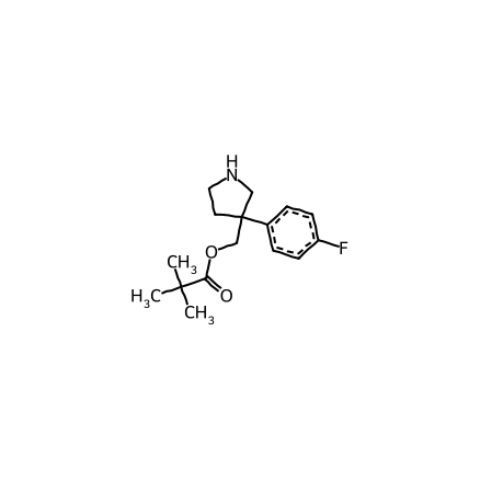 CC(C)(C)C(=O)OCC1(c2ccc(F)cc2)CCNC1